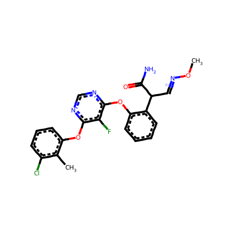 CO/N=C/C(C(N)=O)c1ccccc1Oc1ncnc(Oc2cccc(Cl)c2C)c1F